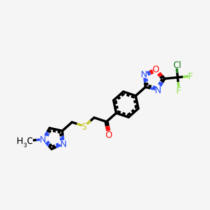 Cn1cnc(CSCC(=O)c2ccc(-c3noc(C(F)(F)Cl)n3)cc2)c1